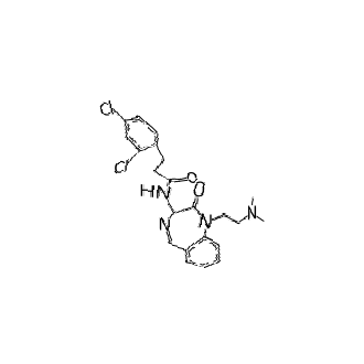 CN(C)CCN1C(=O)C(NC(=O)CCc2ccc(Cl)cc2Cl)N=Cc2ccccc21